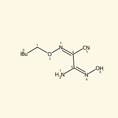 CCC(C)CO/N=C(C#N)\C(N)=N/O